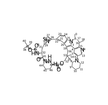 CCn1c(-c2cc(N3CCCCC3)cnc2C(C)C)c2c3cc(ccc31)-c1csc(n1)C[C@H](NC(=O)OC(C)(C)C)C(=O)N1CCC[C@H](N1)C(=O)OCC(C)(C)C2